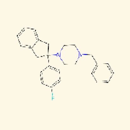 Fc1ccc(C2(N3CCN(Cc4ccccc4)CC3)Cc3ccccc3C2)cc1